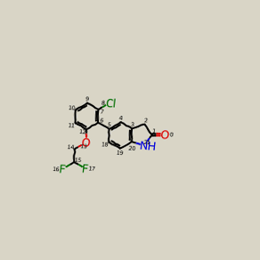 O=C1Cc2cc(-c3c(Cl)cccc3OCC(F)F)ccc2N1